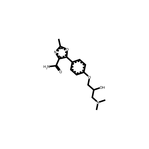 Cc1nc(C(N)=O)c(-c2ccc(OCC(O)CN(C)C)cc2)o1